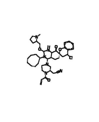 C=CC(=O)N1CCN(C2C3CC[C@]4(CC(Cl)c5ccccc5O4)C(=O)C3NC(OCC3CCCN3C)N2C2CCCCCCC2)CC1CC#N